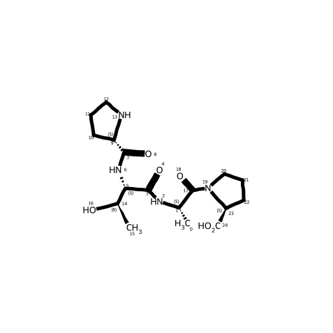 C[C@H](NC(=O)[C@@H](NC(=O)[C@@H]1CCCN1)[C@@H](C)O)C(=O)N1CCC[C@H]1C(=O)O